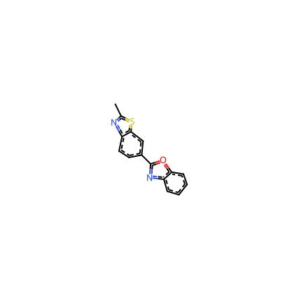 Cc1nc2ccc(-c3nc4ccccc4o3)cc2s1